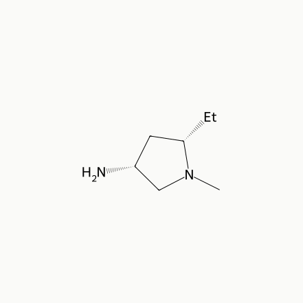 CC[C@H]1C[C@@H](N)CN1C